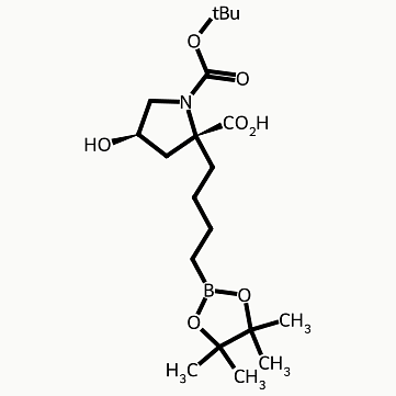 CC(C)(C)OC(=O)N1C[C@H](O)C[C@]1(CCCCB1OC(C)(C)C(C)(C)O1)C(=O)O